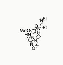 CCC(CCN(C)CC)NC(=O)c1ccc(Nc2ncc3c(n2)N(C2CCCC2)CC(C)(C)C(=O)N3C)c(OC)c1